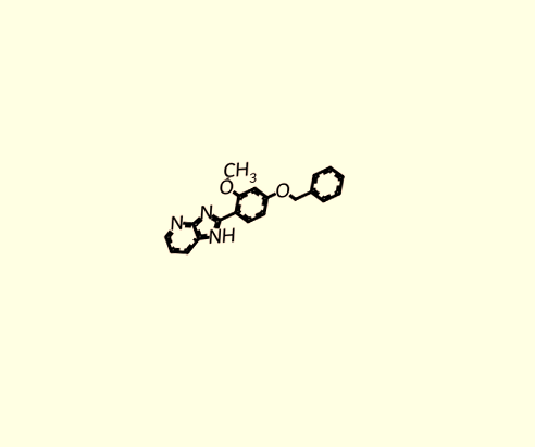 COc1cc(OCc2ccccc2)ccc1-c1nc2ncccc2[nH]1